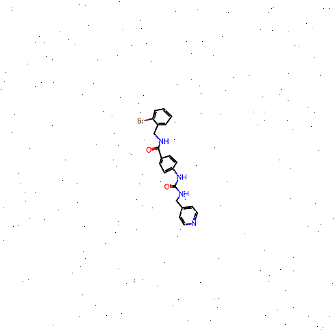 O=C(NCc1ccncc1)Nc1ccc(C(=O)NCc2ccccc2Br)cc1